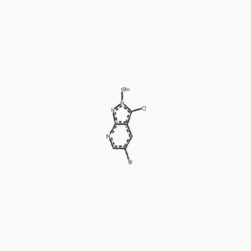 CC(C)(C)n1nc2ncc(Br)cc2c1Cl